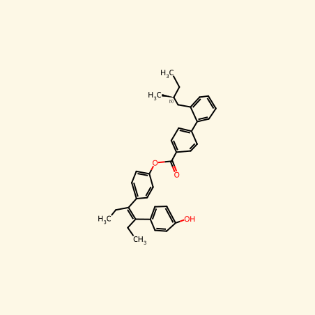 CCC(=C(CC)c1ccc(OC(=O)c2ccc(-c3ccccc3C[C@@H](C)CC)cc2)cc1)c1ccc(O)cc1